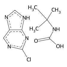 CC(C)(C)NC(=O)O.Clc1ncc2nc[nH]c2n1